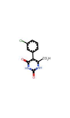 O=C(O)c1[nH]c(=O)[nH]c(=O)c1-c1cccc(Cl)c1